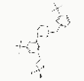 CC(C)(C)c1ccnc(CC2CCCC(c3cc(C(C)(C)C)cc(CCC(F)(F)F)n3)C2)c1